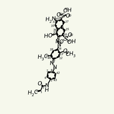 C=CC(=O)Nc1ccc(/N=N/c2cc(OC)c(/N=N/c3c(S(=O)(=O)O)cc4cc(S(=O)(=O)O)c(N)cc4c3O)cc2C)cc1